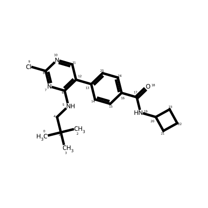 CC(C)(C)CNc1nc(Cl)ncc1-c1ccc(C(=O)NC2CCC2)cc1